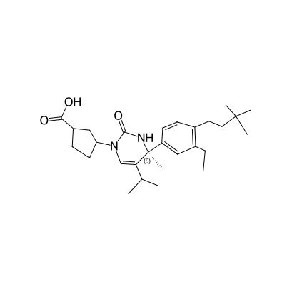 CCc1cc([C@]2(C)NC(=O)N(C3CCC(C(=O)O)C3)C=C2C(C)C)ccc1CCC(C)(C)C